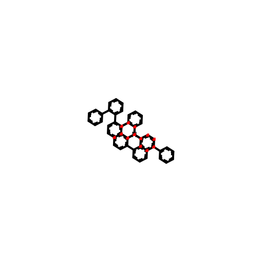 c1ccc(-c2ccc(N(c3ccccc3-c3ccccc3-c3ccccc3-c3ccccc3)c3ccccc3-c3cccc4cccc(C5CCCCC5)c34)cc2)cc1